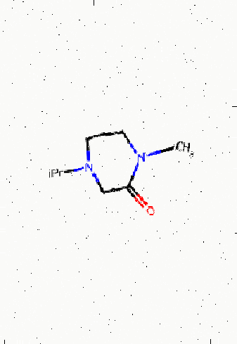 CC(C)N1CCN(C)C(=O)C1